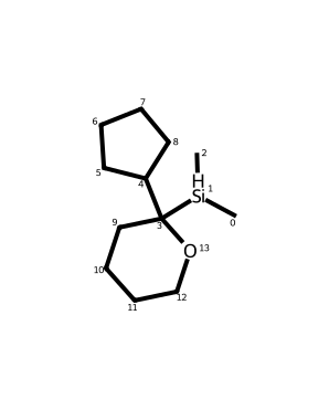 C[SiH](C)C1(C2CCCC2)CCCCO1